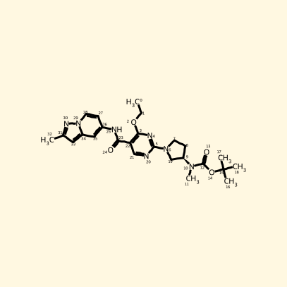 CCOc1nc(N2CC[C@@H](N(C)C(=O)OC(C)(C)C)C2)ncc1C(=O)Nc1ccn2nc(C)cc2c1